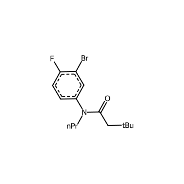 CCCN(C(=O)CC(C)(C)C)c1ccc(F)c(Br)c1